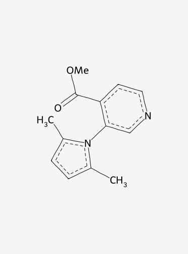 COC(=O)c1ccncc1-n1c(C)ccc1C